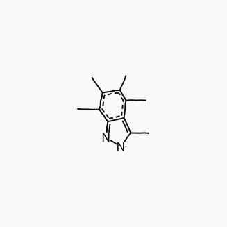 CC1=c2c(C)c(C)c(C)c(C)c2=N[N]1